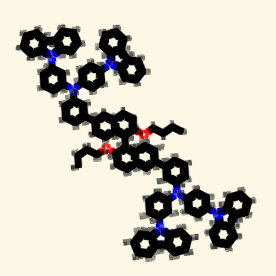 CCCCOc1ccc2cc(-c3cccc(N(c4ccc(-n5c6ccccc6c6ccccc65)cc4)c4cccc(-n5c6ccccc6c6ccccc65)c4)c3)ccc2c1-c1c(OCCCC)ccc2cc(-c3cccc(N(c4ccc(-n5c6ccccc6c6ccccc65)cc4)c4cccc(-n5c6ccccc6c6ccccc65)c4)c3)ccc12